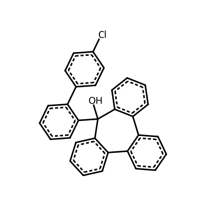 OC1(c2ccccc2-c2ccc(Cl)cc2)c2ccccc2-c2ccccc2-c2ccccc21